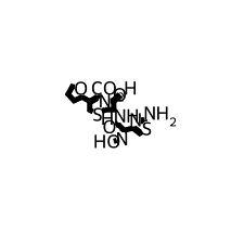 Nc1nc(/C(=N/O)C(=O)N[C@@H]2C(=O)N3C(C(=O)O)=C(C4CCCO4)CS[C@H]23)cs1